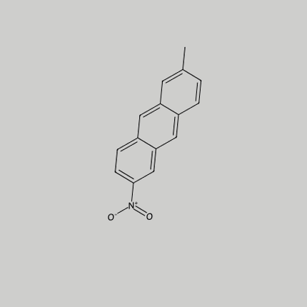 Cc1ccc2cc3cc([N+](=O)[O-])ccc3cc2c1